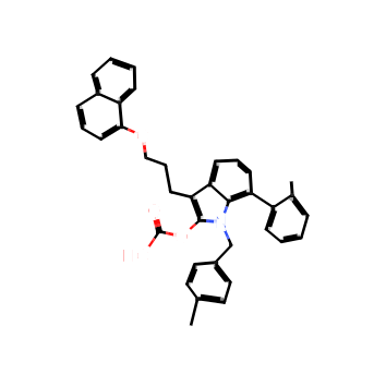 Cc1ccc(Cn2c(OC(=O)O)c(CCCOc3cccc4ccccc34)c3cccc(-c4ccccc4C)c32)cc1